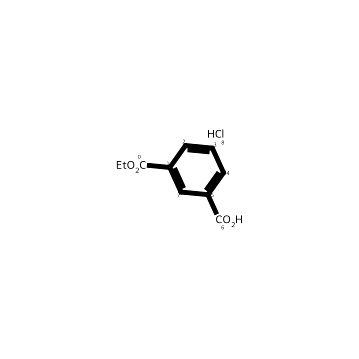 CCOC(=O)c1cccc(C(=O)O)c1.Cl